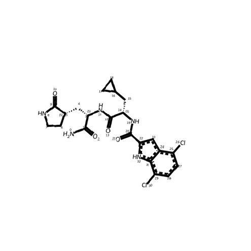 NC(=O)[C@H](C[C@@H]1CCNC1=O)NC(=O)[C@H](CC1CC1)NC(=O)c1cc2c(Cl)ccc(Cl)c2[nH]1